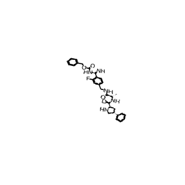 C[C@H](NC(=O)[C@H]1C[C@H](c2ccccc2)CN1)C(=O)NCc1ccc(C(=N)NC(=O)OCc2ccccc2)c(F)c1